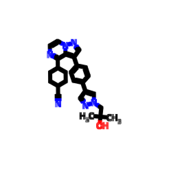 CC(C)(O)Cn1cc(-c2ccc(-c3cnn4ccnc(C5CCC(C#N)CC5)c34)cc2)cn1